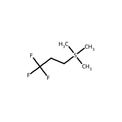 CS(C)(C)CCC(F)(F)F